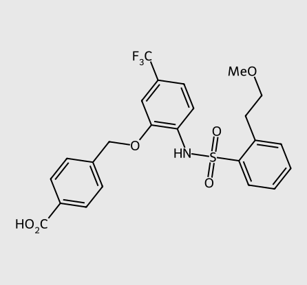 COCCc1ccccc1S(=O)(=O)Nc1ccc(C(F)(F)F)cc1OCc1ccc(C(=O)O)cc1